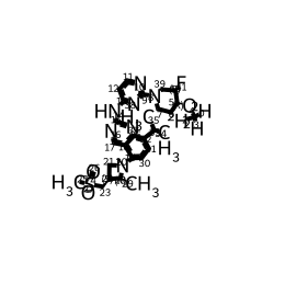 [2H]C([2H])([2H])O[C@@H]1CCN(c2nccc(Nc3ncc4c(N5C[C@H](CS(C)(=O)=O)[C@H]5C)ccc(C(C)C)c4n3)n2)C[C@@H]1F